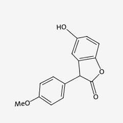 COc1ccc(C2C(=O)Oc3ccc(O)cc32)cc1